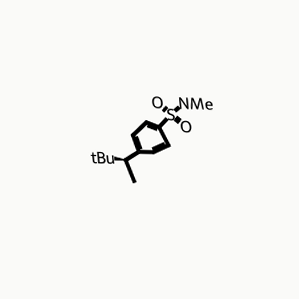 CNS(=O)(=O)c1ccc([C@@H](C)C(C)(C)C)cc1